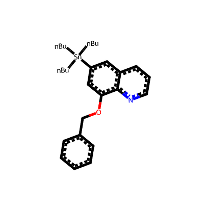 CCC[CH2][Sn]([CH2]CCC)([CH2]CCC)[c]1cc(OCc2ccccc2)c2ncccc2c1